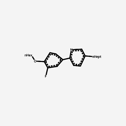 CCCCCCCc1ccc(-c2ccc(OCCCCCC)c(F)c2)nc1